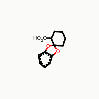 O=C(O)C1CCCCC12Oc1ccccc1O2